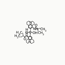 CCC(CC)C(=O)Nc1c(C2=C(O)C(c3cc4c5c(c3NC(=O)C(CC)CC)CCCN5CCC4)=C2O)cc2c3c1CCCN3CCC2